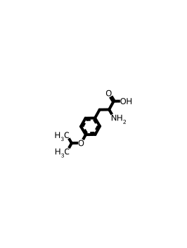 CC(C)Oc1ccc(CC(N)C(=O)O)cc1